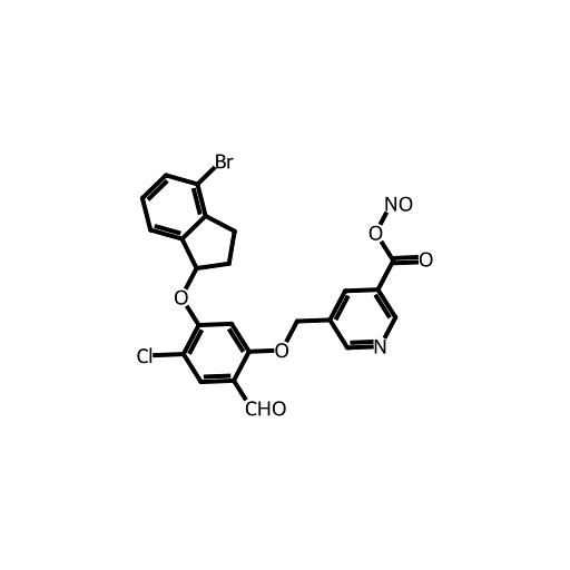 O=Cc1cc(Cl)c(OC2CCc3c(Br)cccc32)cc1OCc1cncc(C(=O)ON=O)c1